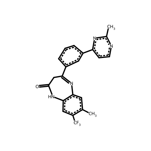 Cc1nccc(-c2cccc(C3=Nc4cc(C)c(C(F)(F)F)cc4NC(=O)C3)c2)n1